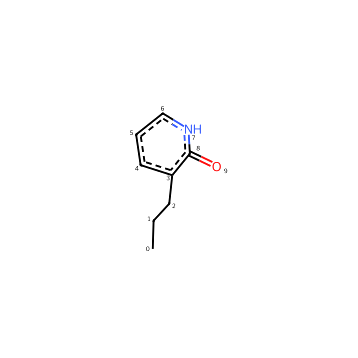 CCCc1ccc[nH]c1=O